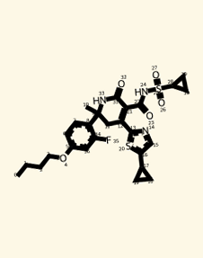 CCCCOc1ccc(C2(C)CC(c3ncc(C4CC4)s3)=C(C(=O)NS(=O)(=O)C3CC3)C(=O)N2)c(F)c1